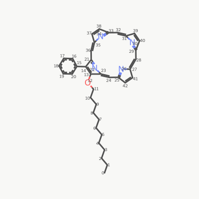 CCCCCCCCCCCCOC1=C(c2ccccc2)C2=NC1=CC1=NC(=CC3=NC(=CC4=NC(=C2)C=C4)C=C3)C=C1